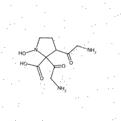 NCC(=O)C1CCN(O)C1(C(=O)O)C(=O)CN